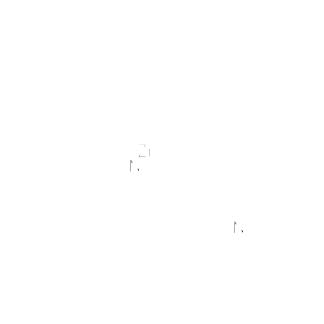 CC(C)C1(c2ccccn2)C=c2ccccc2=[C]1[Zr][C]1=c2ccccc2=CC1(c1ccccn1)C(C)C